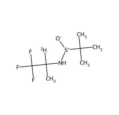 [2H]C(C)(N[S+]([O-])C(C)(C)C)C(F)(F)F